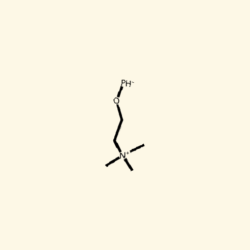 C[N+](C)(C)CCO[PH-]